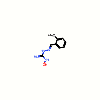 COc1ccccc1C=NNC(=N)NO